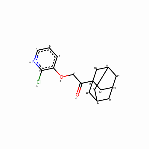 O=C(COc1cccnc1Cl)C12CC3CC(CC(C3)C1)C2